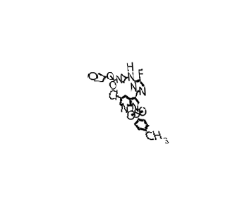 Cc1ccc(S(=O)(=O)n2cc(-c3ncc(F)c(NC4CN(C(=O)OC5CCOC5)C4)n3)c3cc(Cl)cnc32)cc1